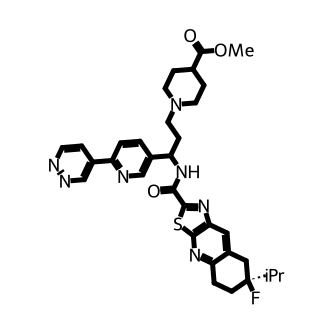 COC(=O)C1CCN(CCC(NC(=O)c2nc3cc4c(nc3s2)CC[C@@](F)(C(C)C)C4)c2ccc(-c3ccnnc3)nc2)CC1